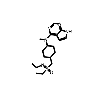 CCN=S(=O)(CC)CC1CCC(N(C)c2ncnc3[nH]ccc23)CC1